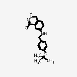 CC(C)(C)Oc1ccc(CNc2ccc3c(c2)C(Cl)=NNC3)cc1